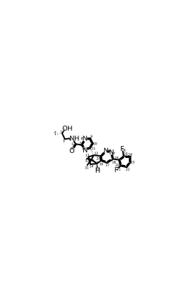 C[C@H](O)CNC(=O)c1nccc([C@]23CC[C@@H](c4cc(-c5c(F)cccc5F)nnc42)C3(C)C)n1